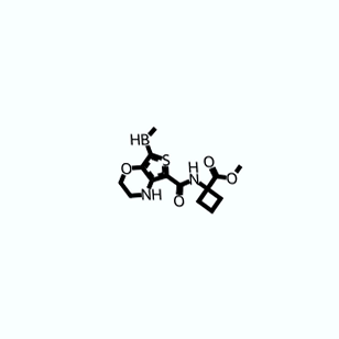 CBc1sc(C(=O)NC2(C(=O)OC)CCC2)c2c1OCCN2